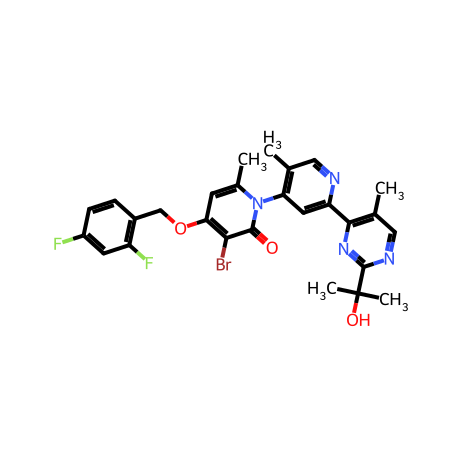 Cc1cnc(-c2nc(C(C)(C)O)ncc2C)cc1-n1c(C)cc(OCc2ccc(F)cc2F)c(Br)c1=O